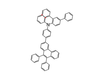 c1ccc(-c2ccc(N(c3ccccc3)c3ccc(-c4ccc5c(-c6ccccc6)c(-c6ccccc6)c6ccccc6c5c4)cc3)c(-c3ccccc3)c2)cc1